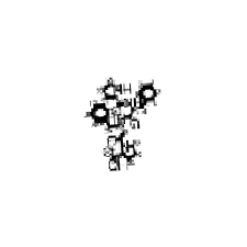 O=C(N[C@@H](Cc1ccccc1)C(=O)N[C@H](CC(=O)N1CCC[C@H]1C(=O)O)Cc1ccccc1)[C@@H]1CCCN1